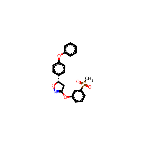 CS(=O)(=O)c1cccc(OC2=NO[C@H](c3ccc(Oc4ccccc4)cc3)C2)c1